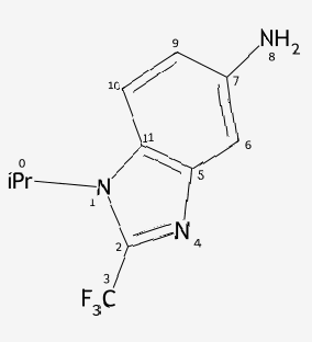 CC(C)n1c(C(F)(F)F)nc2cc(N)ccc21